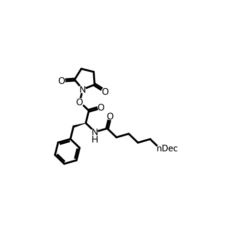 CCCCCCCCCCCCCCC(=O)N[C@@H](Cc1ccccc1)C(=O)ON1C(=O)CCC1=O